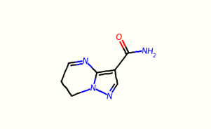 NC(=O)c1cnn2c1N=CCC2